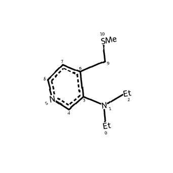 CCN(CC)c1cnccc1CSC